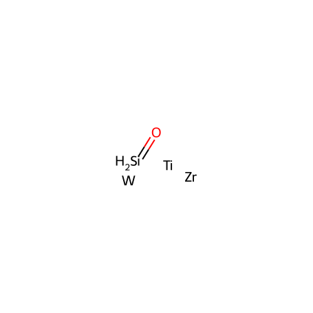 O=[SiH2].[Ti].[W].[Zr]